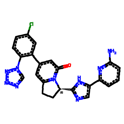 Nc1cccc(-c2cnc([C@@H]3CCc4cc(-c5cc(Cl)ccc5-n5cnnn5)cc(=O)n43)[nH]2)n1